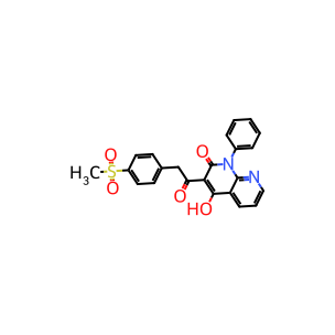 CS(=O)(=O)c1ccc(CC(=O)c2c(O)c3cccnc3n(-c3ccccc3)c2=O)cc1